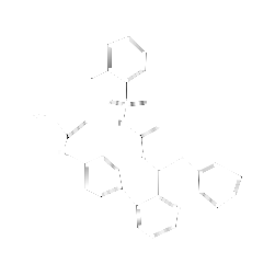 C=C(Nc1ccc(-c2cccnc2C(Cc2ccccc2)NC(=O)NS(=O)(=O)c2ccccc2Cl)cc1)OC